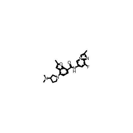 Cc1cn2cc(NC(=O)c3ccc(N4CCC(N(C)C)C4)c4cc(C)oc34)cc(F)c2n1